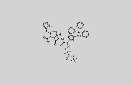 Cn1ccc[n+]1CC1=C(C(=O)[O-])N2C(=O)[C@@H](NC(=O)/C(=N\OC(C)(C)C(=O)OC(C)(C)C)c3csc(NC(c4ccccc4)(c4ccccc4)c4ccccc4)n3)[C@H]2SC1